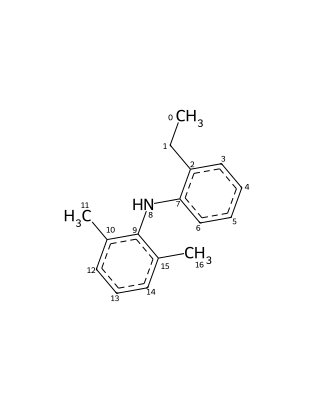 CCc1ccccc1Nc1c(C)cccc1C